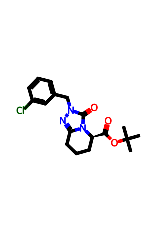 CC(C)(C)OC(=O)[C@H]1CCCc2nn(Cc3cccc(Cl)c3)c(=O)n21